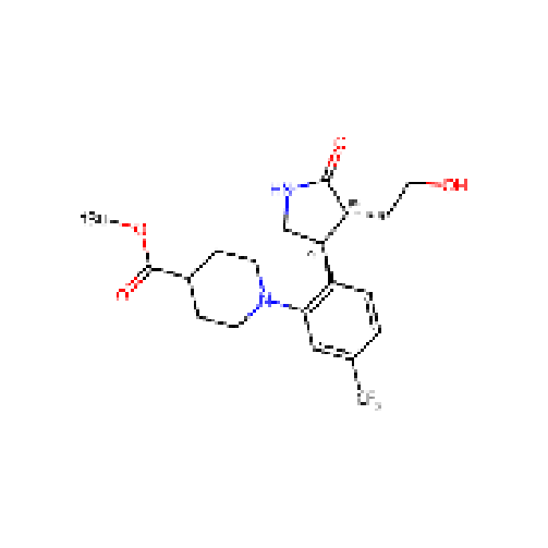 CC(C)(C)OC(=O)C1CCN(c2cc(C(F)(F)F)ccc2[C@H]2CNC(=O)[C@@H]2CCO)CC1